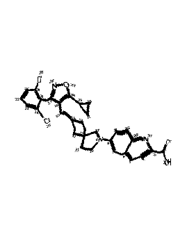 O=C(O)c1ccc2cc(N3CCC4(CC(=Cc5c(-c6c(Cl)cccc6Cl)noc5C5CC5)C4)C3)ccc2n1